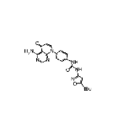 CC(C)(C)c1cc(NC(=O)Nc2ccc(-n3ccc(=O)c4c(N)ncnc43)cc2)no1